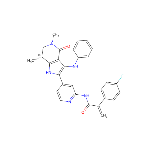 C=C(C(=O)Nc1cc(-c2[nH]c3c(c2Nc2ccccc2)C(=O)N(C)C[C@H]3C)ccn1)c1ccc(F)cc1